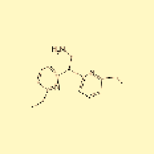 CCc1cccc(C(CN)c2cccc(CC)n2)n1